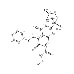 CCOC(=O)c1cn2c(c(OCc3ccccc3)c1=O)C(=O)N1C3C4C(C[C@@H]3F)[C@@H]4[C@H]1C2